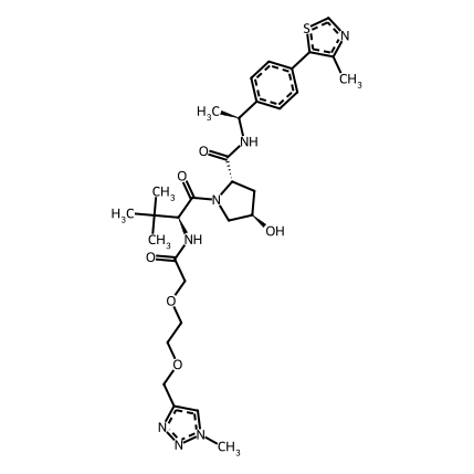 Cc1ncsc1-c1ccc([C@H](C)NC(=O)[C@@H]2C[C@@H](O)CN2C(=O)[C@@H](NC(=O)COCCOCc2cn(C)nn2)C(C)(C)C)cc1